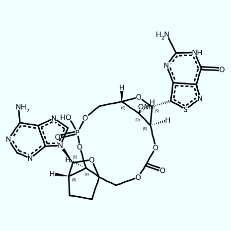 CO[C@H]1[C@@H]2OC(=O)OCC34CC[C@@H]([C@H]3OP(=O)(O)OC[C@@H]1O[C@@H]2c1snc2c(=O)[nH]c(N)nc12)[C@@H](n1cnc2c(N)ncnc21)O4